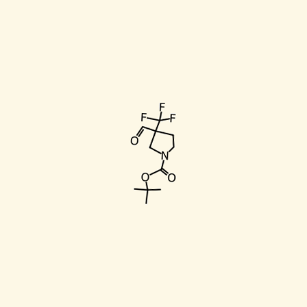 CC(C)(C)OC(=O)N1CCC(C=O)(C(F)(F)F)C1